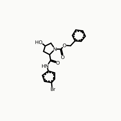 O=C(Nc1ccc(Br)cc1)C1CC(O)CN1C(=O)OCc1ccccc1